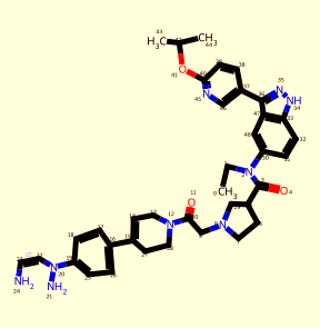 CCN(C(=O)C1CCN(CC(=O)N2CC=C(c3ccc(N(N)/C=C\N)cc3)CC2)C1)c1ccc2[nH]nc(-c3ccc(OC(C)C)nc3)c2c1